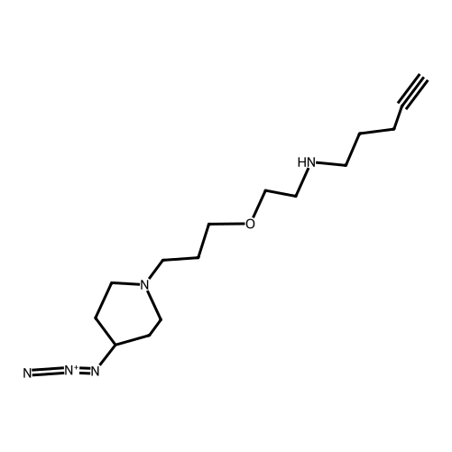 C#CCCCNCCOCCCN1CCC(N=[N+]=[N-])CC1